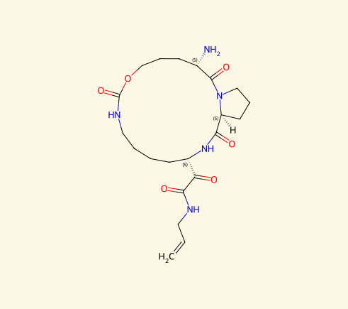 C=CCNC(=O)C(=O)[C@@H]1CCCCNC(=O)OCCC[C@H](N)C(=O)N2CCC[C@H]2C(=O)N1